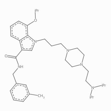 Cc1cccc(CNC(=O)c2cn(CCCN3CCN(CCN(C(C)C)C(C)C)CC3)c3c(OC(C)C)cccc23)c1